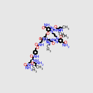 CCn1nc(C)cc1C(=O)Nc1nc2cc(C(N)=O)cc(OC)c2n1C/C=C/Cn1c(NC(=O)c2cc(C)nn2CC)nc2cc(C(N)=O)cc(OCCCNC(=O)CCNC(=O)OCc3ccc(NC(=O)[C@H](CCCNC(N)=O)NC(=O)[C@@H](N)C(C)C)cc3)c21